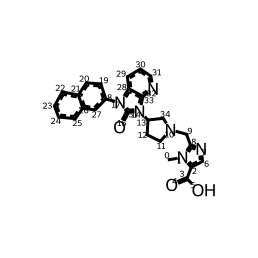 Cn1c(C(=O)O)cnc1CN1CCC(n2c(=O)n(-c3ccc4ccccc4c3)c3cccnc32)C1